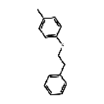 Cc1ccc(S[CH]Cc2ccccc2)cc1